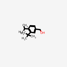 CC(C)c1ccc(CO)cc1C(C)(C)C